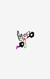 CCC(OCc1ccccc1OC)Oc1ccc(I)cc1Cl